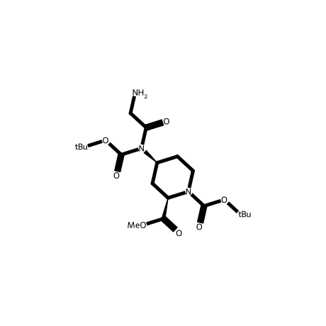 COC(=O)[C@H]1C[C@@H](N(C(=O)CN)C(=O)OC(C)(C)C)CCN1C(=O)OC(C)(C)C